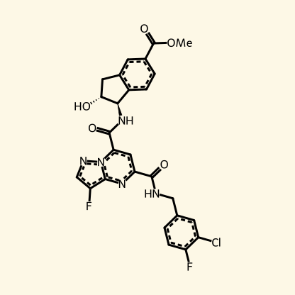 COC(=O)c1ccc2c(c1)C[C@@H](O)[C@@H]2NC(=O)c1cc(C(=O)NCc2ccc(F)c(Cl)c2)nc2c(F)cnn12